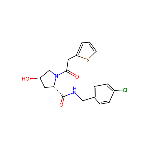 O=C(NCc1ccc(Cl)cc1)[C@@H]1C[C@@H](O)CN1C(=O)Cc1cccs1